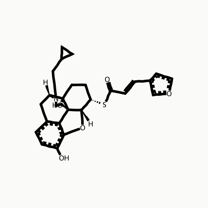 O=C(/C=C/c1ccoc1)S[C@H]1CC[C@@]2(O)[C@H]3Cc4ccc(O)c5c4[C@@]2(CCN3CC2CC2)[C@H]1O5